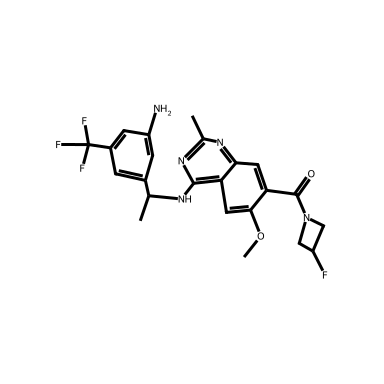 COc1cc2c(NC(C)c3cc(N)cc(C(F)(F)F)c3)nc(C)nc2cc1C(=O)N1CC(F)C1